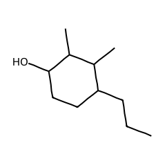 CCCC1CCC(O)C(C)C1C